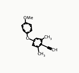 C#Cc1c(C)cc(Oc2ccc(OC)cc2)cc1C